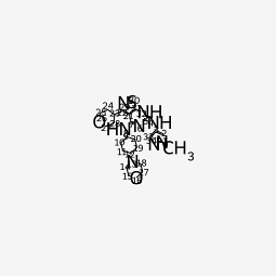 Cn1cc(NC2N=C(NC3CCC(N4CCOCC4)CC3)c3c(C4CCOCC4)nsc3N2)cn1